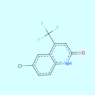 O=c1cc(C(F)(F)F)c2cc(Cl)ccc2[nH]1